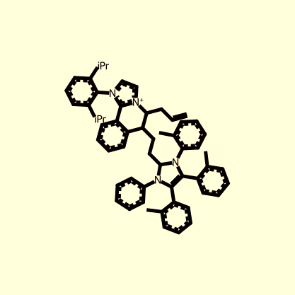 C=CCC1C(CCC2N(c3ccccc3)C(c3ccccc3C)=C(c3ccccc3C)N2c2ccccc2C)c2ccccc2-c2n(-c3c(C(C)C)cccc3C(C)C)cc[n+]21